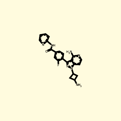 Nc1nccc2c1c(-c1ccc(C(=O)Nc3ccccn3)cc1F)nn2C1CC(N)C1